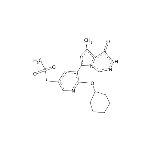 Cc1cc(-c2cc(CS(C)(=O)=O)cnc2OC2CCCCC2)n2cn[nH]c(=O)c12